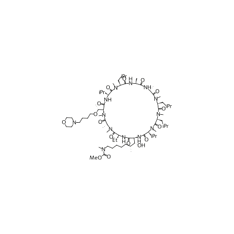 CC[C@@H]1NC(=O)[C@H]([C@H](O)[C@H](C)CCCCCN(C)C(=O)OC)NC(=O)[C@H](C(C)C)N(C)C(=O)[C@H](CC(C)C)N(C)C(=O)[C@H](CC(C)C)N(C)C(=O)[C@@H](C)NC(=O)[C@H](C)NC(=O)[C@H](CC(C)C)N(C)C(=O)[C@H](C(C)C)NC(=O)[C@H]([C@@H](C)OCCCCN2CCOCC2)N(C)C(=O)[C@@H](C)N(C)C1=O